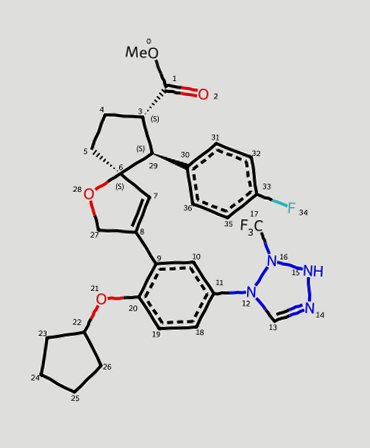 COC(=O)[C@H]1CC[C@@]2(C=C(c3cc(N4C=NNN4C(F)(F)F)ccc3OC3CCCC3)CO2)[C@@H]1c1ccc(F)cc1